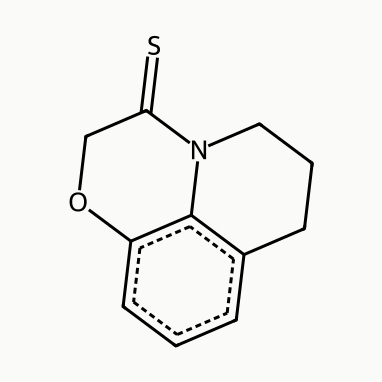 S=C1COc2cccc3c2N1CCC3